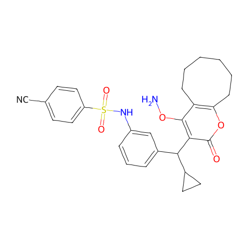 N#Cc1ccc(S(=O)(=O)Nc2cccc(C(c3c(ON)c4c(oc3=O)CCCCCC4)C3CC3)c2)cc1